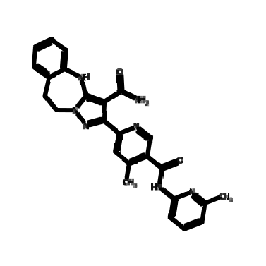 Cc1cccc(NC(=O)c2cnc(-c3nn4c(c3C(N)=O)Nc3ccccc3CC4)cc2C)n1